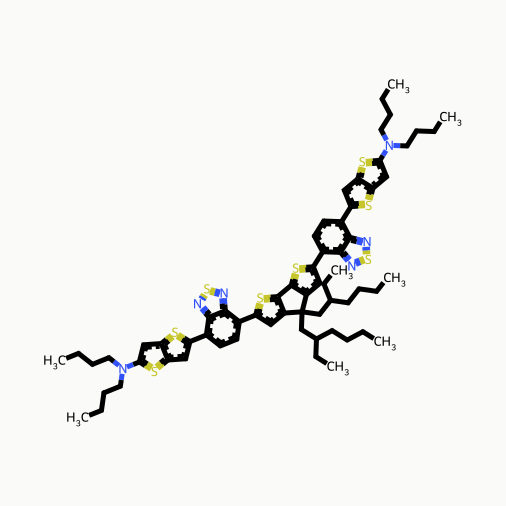 CCCCC(CC)CC1(CC(CC)CCCC)c2cc(-c3ccc(-c4cc5sc(N(CCCC)CCCC)cc5s4)c4nsnc34)sc2-c2sc(-c3ccc(-c4cc5sc(N(CCCC)CCCC)cc5s4)c4nsnc34)cc21